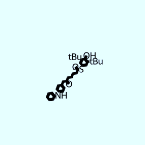 CC(C)(C)c1cc(SC(=O)CCCCC(=O)Cc2ccc(Nc3ccccc3)cc2)cc(C(C)(C)C)c1O